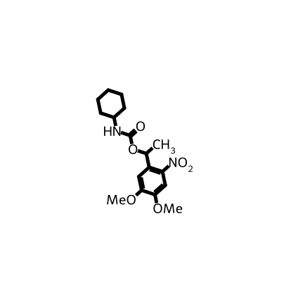 COc1cc(C(C)OC(=O)NC2CCCCC2)c([N+](=O)[O-])cc1OC